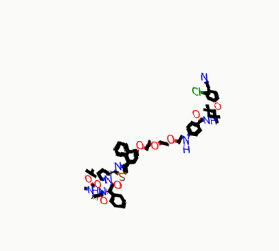 C[C@@H](C(=O)N[C@H](C(=O)N1CCC[C@H]1c1nc(-c2ccc(OCCOCCOCCNc3ccc(C(=O)N[C@H]4C(C)(C)[C@H](Oc5ccc(C#N)c(Cl)c5)C4(C)C)cc3)c3ccccc23)cs1)C1CCCCC1)N(C)C(=O)OC(C)(C)C